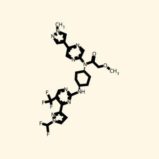 COCC(=O)N(c1cnc(-c2cnn(C)c2)cn1)[C@H]1CC[C@H](Nc2ncc(C(F)(F)F)c(-c3ccn(C(F)F)n3)n2)CC1